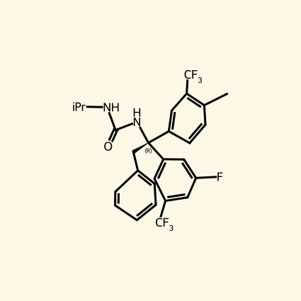 Cc1ccc([C@@](Cc2ccccc2)(NC(=O)NC(C)C)c2cc(F)cc(C(F)(F)F)c2)cc1C(F)(F)F